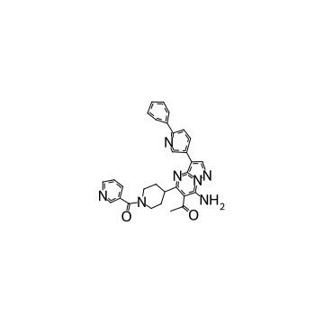 CC(=O)c1c(C2CCN(C(=O)c3cccnc3)CC2)nc2c(-c3ccc(-c4ccccc4)nc3)cnn2c1N